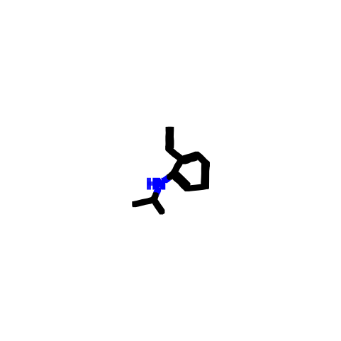 C=Cc1ccccc1NC(C)C